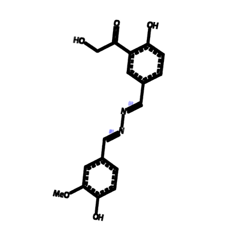 COc1cc(/C=N/N=C/c2ccc(O)c(C(=O)CO)c2)ccc1O